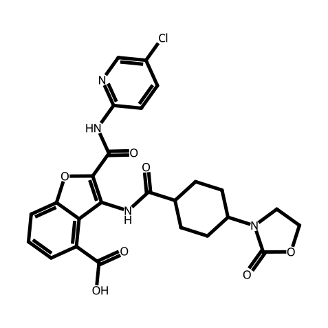 O=C(Nc1ccc(Cl)cn1)c1oc2cccc(C(=O)O)c2c1NC(=O)C1CCC(N2CCOC2=O)CC1